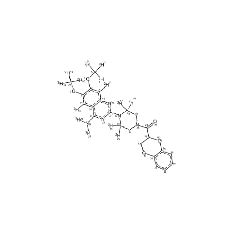 [2H]c1c(OC([2H])([2H])[2H])c(OC([2H])([2H])[2H])c([2H])c2c(N([2H])[2H])nc(N3C([2H])([2H])CN(C(=O)C4COc5ccccc5O4)CC3([2H])[2H])nc12